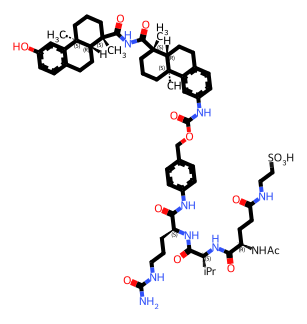 CC(=O)N[C@H](CCC(=O)NCCS(=O)(=O)O)C(=O)N[C@H](C(=O)N[C@@H](CCCNC(N)=O)C(=O)Nc1ccc(COC(=O)Nc2ccc3c(c2)[C@@]2(C)CCC[C@](C)(C(=O)NC(=O)[C@@]4(C)CCC[C@]5(C)c6cc(O)ccc6CC[C@@H]45)[C@@H]2CC3)cc1)C(C)C